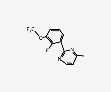 Cc1ccnc(-c2cccc(OC(F)(F)F)c2F)n1